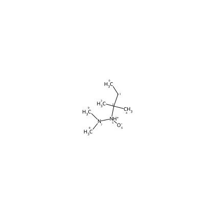 CCC(C)(C)[NH+]([O-])N(C)C